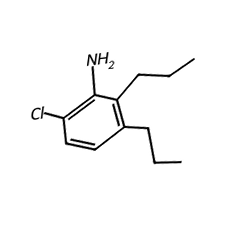 CCCc1ccc(Cl)c(N)c1CCC